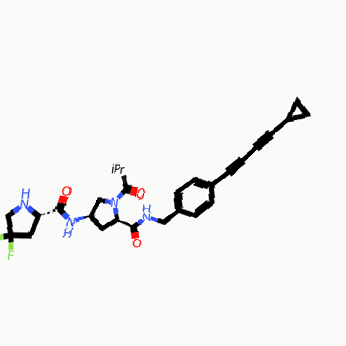 CC(C)C(=O)N1C[C@H](NC(=O)[C@@H]2CC(F)(F)CN2)C[C@@H]1C(=O)NCc1ccc(C#CC#CC2CC2)cc1